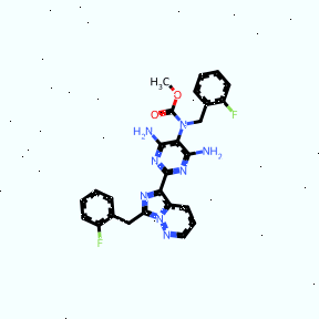 COC(=O)N(Cc1ccccc1F)c1c(N)nc(-c2nc(Cc3ccccc3F)n3ncccc23)nc1N